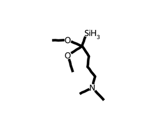 COC([SiH3])(CCCN(C)C)OC